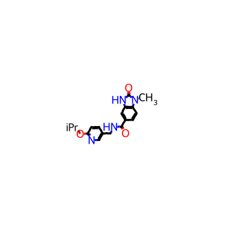 CC(C)Oc1ccc(CNC(=O)c2ccc3c(c2)[nH]c(=O)n3C)cn1